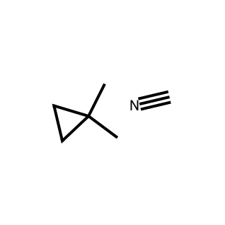 C#N.CC1(C)CC1